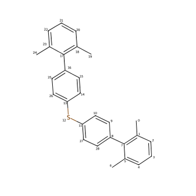 Cc1cccc(C)c1-c1ccc(Sc2ccc(-c3c(C)cccc3C)cc2)cc1